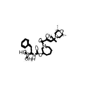 C[C@@H]1CN(C(C)(C)C=C(C#N)C(=O)N2CCCCC(OC(=O)NC(Cc3ccccc3)B(O)O)C2)C[C@H](C)O1